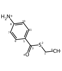 [CH]CSC(=O)c1ccc(N)cc1